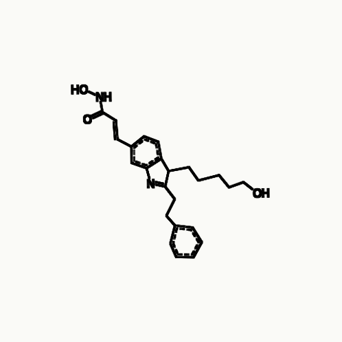 O=C(/C=C/c1ccc2c(c1)N=C(CCc1ccccc1)C2CCCCCO)NO